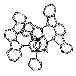 c1ccc(-c2nc(-c3ccccc3)nc(-n3c4ccccc4c4ccc5c6ccccc6n(-c6cccc(-n7c8ccccc8c8ccc9c%10ccccc%10n(-c%10ccccc%10)c9c87)n6)c5c43)n2)cc1